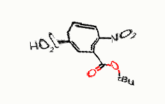 CC(C)(C)OC(=O)c1cc(C(=O)O)ccc1[N+](=O)[O-]